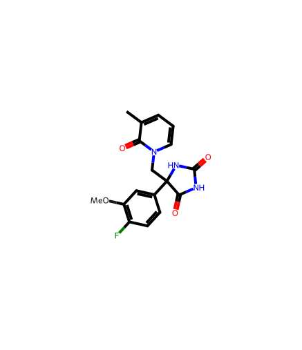 COc1cc(C2(Cn3cccc(C)c3=O)NC(=O)NC2=O)ccc1F